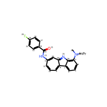 CCCN(C)c1cccc2c3cccc(NC(=O)c4ccc(F)cc4)cc-3nc12